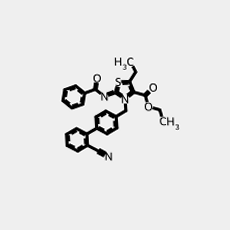 CCOC(=O)c1c(CC)sc(=NC(=O)c2ccccc2)n1Cc1ccc(-c2ccccc2C#N)cc1